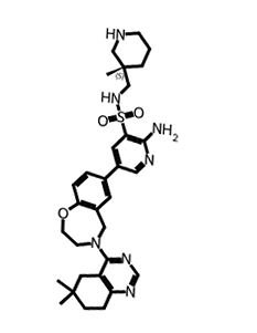 CC1(C)CCc2ncnc(N3CCOc4ccc(-c5cnc(N)c(S(=O)(=O)NC[C@@]6(C)CCCNC6)c5)cc4C3)c2C1